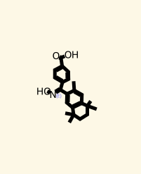 Cc1cc2c(cc1/C(=N/O)c1ccc(C(=O)O)cc1)C(C)(C)CCC2(C)C